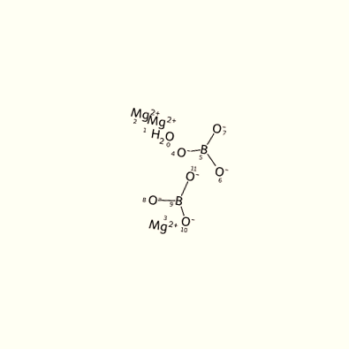 O.[Mg+2].[Mg+2].[Mg+2].[O-]B([O-])[O-].[O-]B([O-])[O-]